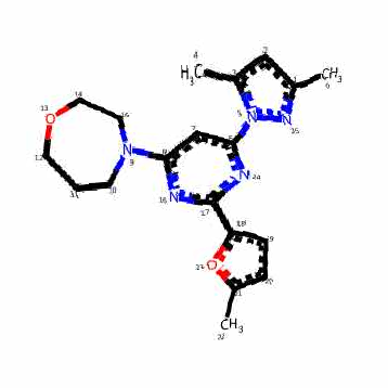 Cc1cc(C)n(-c2cc(N3CCCOCC3)nc(-c3ccc(C)o3)n2)n1